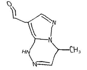 CC1C=NNc2c(C=O)cnn21